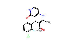 COC(=O)C1=C(C)Nc2cc[nH]c(=O)c2C1c1cccc(Cl)c1F